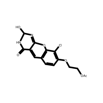 CC(=O)OCCOc1ccc2c(c1Cl)OC1=NC(O)NC(=O)C1=C2